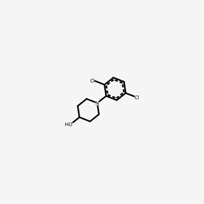 OC1CCN(c2cc(Cl)ccc2Cl)CC1